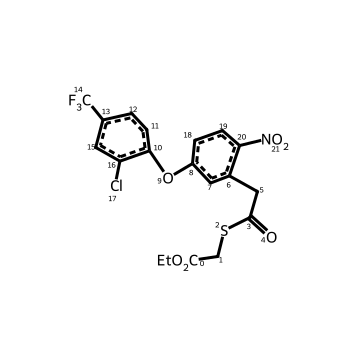 CCOC(=O)CSC(=O)Cc1cc(Oc2ccc(C(F)(F)F)cc2Cl)ccc1[N+](=O)[O-]